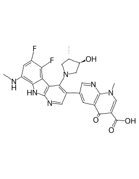 CNc1cc(F)c(F)c2c1[nH]c1ncc(-c3cnc4c(c3)c(=O)c(C(=O)O)cn4C)c(N3C[C@H](C)[C@@H](O)C3)c12